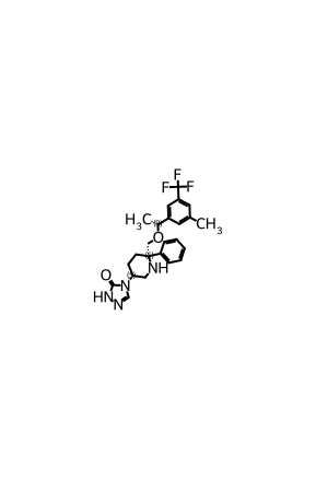 Cc1cc([C@@H](C)OC[C@@]2(c3ccccc3)CC[C@H](n3cn[nH]c3=O)CN2)cc(C(F)(F)F)c1